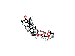 C=C[C@@]12CC[C@]3(C)[C@H](CC[C@@H]4[C@@]5(C)CC[C@H](OC(=O)CC(C)(C)C(=O)OC(C)(C)C)C(C)(C)[C@H]5CC[C@]43C)C1=C(C(C)C)C(=O)C2